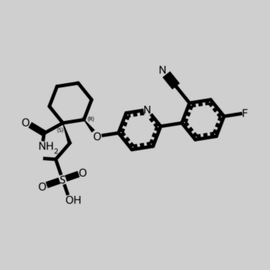 CC(C[C@@]1(C(N)=O)CCCC[C@H]1Oc1ccc(-c2ccc(F)cc2C#N)nc1)S(=O)(=O)O